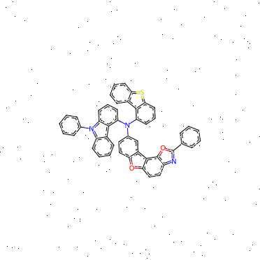 c1ccc(-c2nc3ccc4oc5ccc(N(c6cccc7sc8ccccc8c67)c6cccc7c6c6ccccc6n7-c6ccccc6)cc5c4c3o2)cc1